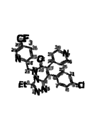 CCc1nnc2c(-c3ccc(Cl)cc3)c(-c3ccncc3)c(=O)n(Cc3ccc(C(F)(F)F)cn3)n12